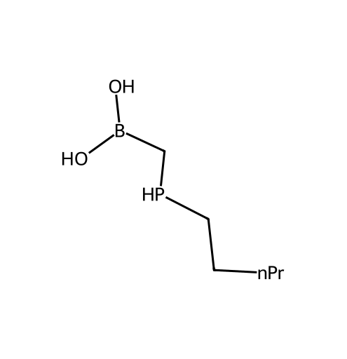 CCCCCPCB(O)O